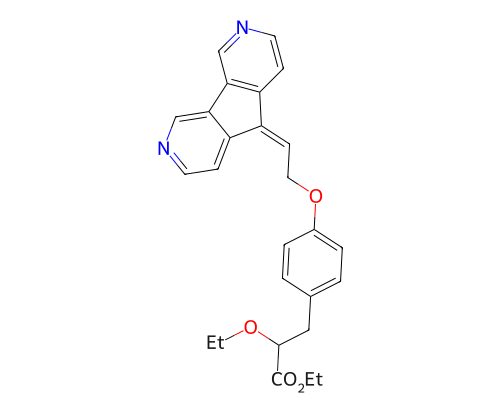 CCOC(=O)C(Cc1ccc(OCC=C2c3ccncc3-c3cnccc32)cc1)OCC